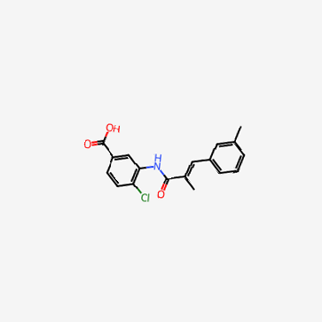 C/C(=C\c1cccc(C)c1)C(=O)Nc1cc(C(=O)O)ccc1Cl